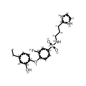 CCc1ccc(Oc2ccc(S(=O)(=O)NCCCc3ncc[nH]3)cc2F)c(O)c1